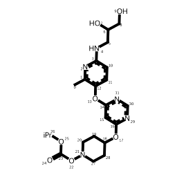 Cc1nc(NCC(O)CO)ccc1Oc1cc(OC2CCN(OC(=O)OC(C)C)CC2)ncn1